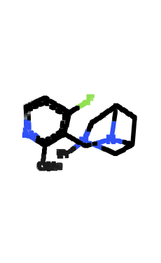 COc1nccc(F)c1CN1C2CC1CN(C(C)C)C2